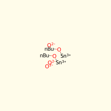 CCCC[O][Sn+3].CCCC[O][Sn+3].[O-2].[O-2].[O-2]